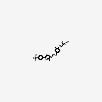 CCOC(=O)COc1ccc(OCCc2ccc(-c3ccc(C(F)(F)F)cc3)nc2C)cc1C